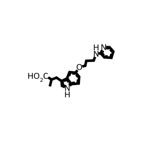 CC(Cc1c[nH]c2ccc(OCCCNc3ccccn3)cc12)C(=O)O